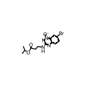 CC(C)OC(=O)CCNc1nc2ccc(Br)cc2[n+]([O-])n1